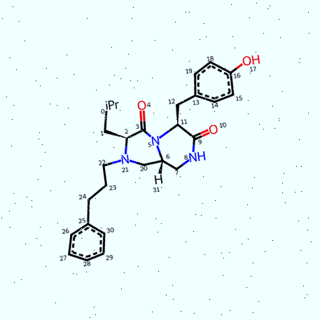 CC(C)C[C@H]1C(=O)N2[C@H](CNC(=O)[C@@H]2Cc2ccc(O)cc2)CN1CCCc1ccccc1